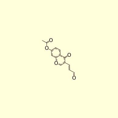 CC(=O)Oc1ccc2c(=O)c(C=CC=O)coc2c1